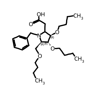 CCCCOC[C@@H]1[C@@H](OCCCC)[C@H](OCCCC)C(CC(=O)O)N1Cc1ccccc1